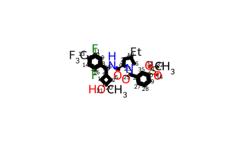 CC[C@@H]1C[C@H](C(=O)N[C@@H](c2cc(F)c(C(F)(F)F)cc2F)C2CC(C)(O)C2)N(C(=O)c2cccc(S(C)(=O)=O)c2)C1